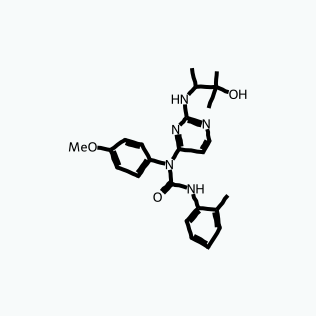 COc1ccc(N(C(=O)Nc2ccccc2C)c2ccnc(NC(C)C(C)(C)O)n2)cc1